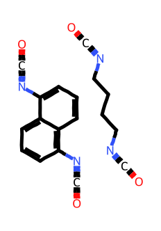 O=C=NCCCCN=C=O.O=C=Nc1cccc2c(N=C=O)cccc12